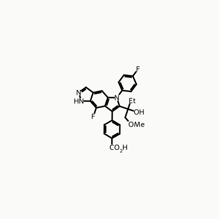 CCC(O)(COC)c1c(-c2ccc(C(=O)O)cc2)c2c(F)c3[nH]ncc3cc2n1-c1ccc(F)cc1